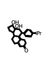 CC(C)c1ccc(C2CC3(O)C(O)CCC3C3CCC4=CC(=O)CCC4=C23)cc1